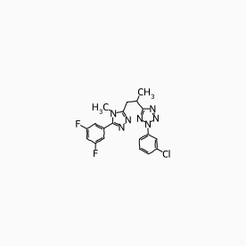 CC(Cc1nnc(-c2cc(F)cc(F)c2)n1C)c1nnn(-c2cccc(Cl)c2)n1